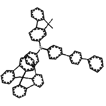 CC1(C)c2ccccc2-c2ccc(N(c3ccc(-c4ccc(-c5ccccc5)cc4)cc3)c3cccc(-c4cccc5c4C4(c6ccccc6-c6ccccc64)c4ccccc4-5)c3)cc21